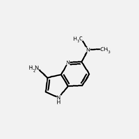 CN(C)c1ccc2[nH]cc(N)c2n1